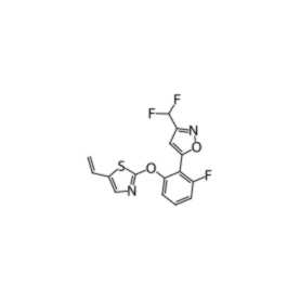 C=Cc1cnc(Oc2cccc(F)c2-c2cc(C(F)F)no2)s1